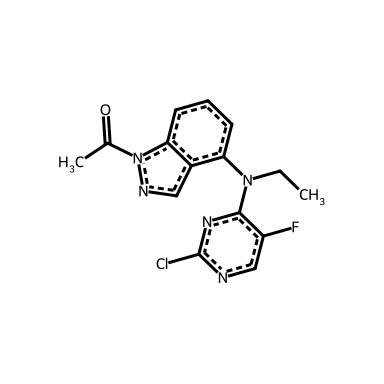 CCN(c1nc(Cl)ncc1F)c1cccc2c1cnn2C(C)=O